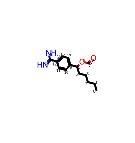 CCCCCC(O[C]=O)c1ccc(C(=N)N)cc1